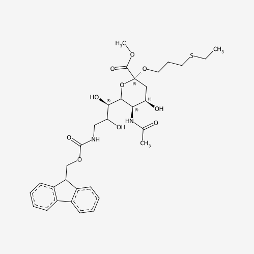 CCSCCCO[C@]1(C(=O)OC)C[C@@H](O)[C@@H](NC(C)=O)C([C@H](O)C(O)CNC(=O)OCC2c3ccccc3-c3ccccc32)O1